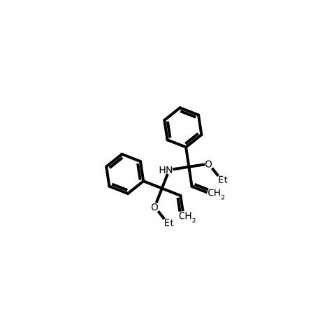 C=CC(NC(C=C)(OCC)c1ccccc1)(OCC)c1ccccc1